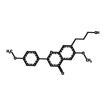 COc1ccc(-c2cc(=O)c3cc(OC)c(CCCO)cc3o2)cc1